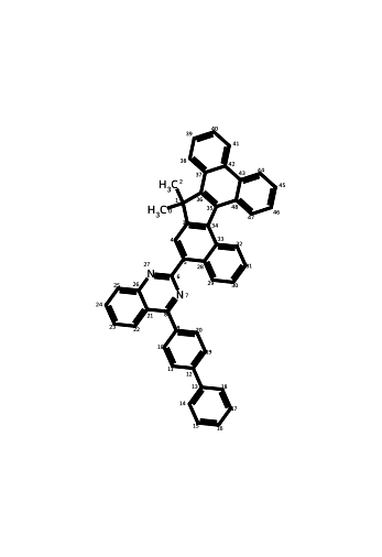 CC1(C)c2cc(-c3nc(-c4ccc(-c5ccccc5)cc4)c4ccccc4n3)c3ccccc3c2-c2c1c1ccccc1c1ccccc21